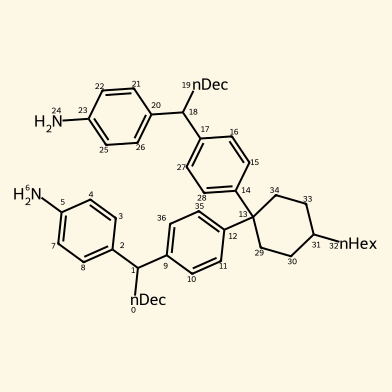 CCCCCCCCCCC(c1ccc(N)cc1)c1ccc(C2(c3ccc(C(CCCCCCCCCC)c4ccc(N)cc4)cc3)CCC(CCCCCC)CC2)cc1